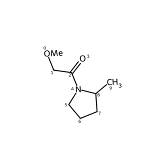 COCC(=O)N1CCCC1C